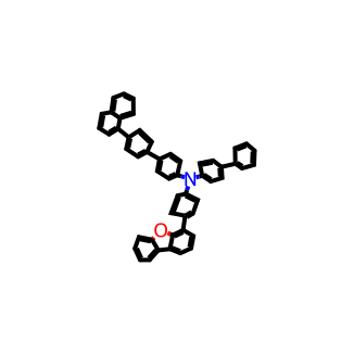 c1ccc(-c2ccc(N(c3ccc(-c4ccc(-c5cccc6ccccc56)cc4)cc3)c3ccc(-c4cccc5c4oc4ccccc45)cc3)cc2)cc1